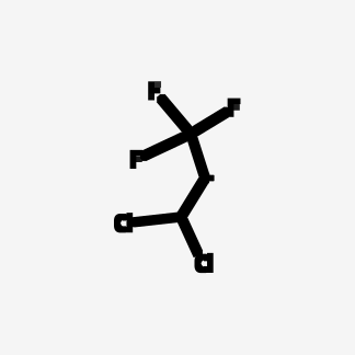 FC(F)(F)[CH]C(Cl)Cl